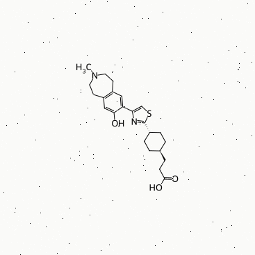 CN1CCc2cc(O)c(-c3csc([C@H]4CC[C@H](CCC(=O)O)CC4)n3)cc2CC1